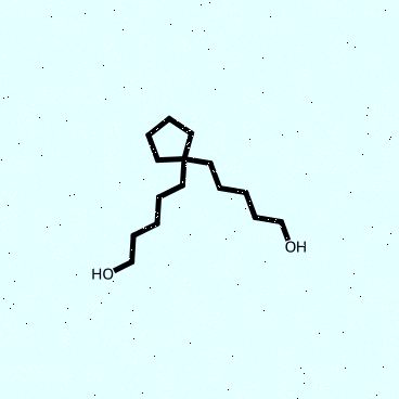 OCCCCCC1(CCCCCO)CCCC1